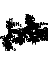 CCCCC[C@H]1O[C@@H](n2cnc3c(N)ncnc32)CC1OP(=O)(S)OC[C@H]1O[C@@H](n2cnc3c(=O)[nH]c(N)nc32)CC1OP(=O)(S)OC[C@H]1O[C@@H](n2cnc3c(=O)[nH]c(N)nc32)C(OCCOC)[C@H]1OP(=O)(O)OC[C@H]1O[C@@H](n2cc(C)c(=O)[nH]c2=O)C(OCCOC)C1OP(=O)(S)OC[C@H]1O[C@@H](n2cc(C)c(N)nc2=O)C(OCCOC)C1OP(=O)(S)OC[C@H]1O[C@@H](n2cc(C)c(=O)[nH]c2=O)C(OCCOC)C1O